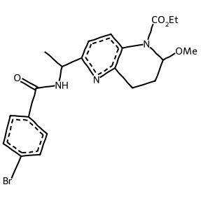 CCOC(=O)N1c2ccc(C(C)NC(=O)c3ccc(Br)cc3)nc2CCC1OC